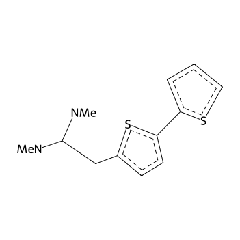 CNC(Cc1ccc(-c2cccs2)s1)NC